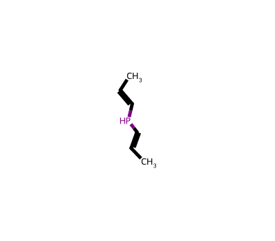 CC=CPC=CC